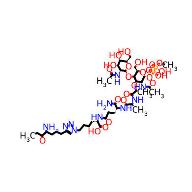 CCC(=O)C(N)CCCc1cn(CCCC[C@H](NC(=O)CC[C@@H](NC(=O)[C@H](C)NC(=O)[C@@H](C)O[C@H]2C(O[C@@H]3O[C@H](CO)[C@@H](O)[C@H](O)[C@H]3NC(C)=O)[C@@H](CO)O[C@H](OP(=O)(O)P(=O)(O)OC)[C@@H]2NC(C)=O)C(N)=O)C(=O)O)nn1